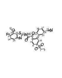 CCS(=O)(=O)c1ccc(C(Oc2ccc(C#N)cc2)C(=O)Nc2nc3ccc(F)c(OC)c3s2)cc1